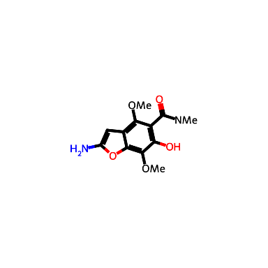 CNC(=O)c1c(O)c(OC)c2oc(N)cc2c1OC